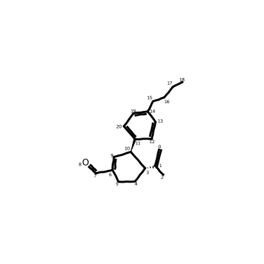 C=C(C)[C@@H]1CCC(C=O)=C[C@H]1c1ccc(CCCC)cc1